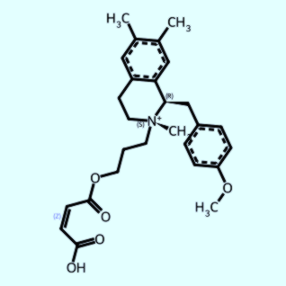 COc1ccc(C[C@@H]2c3cc(C)c(C)cc3CC[N@@+]2(C)CCCOC(=O)/C=C\C(=O)O)cc1